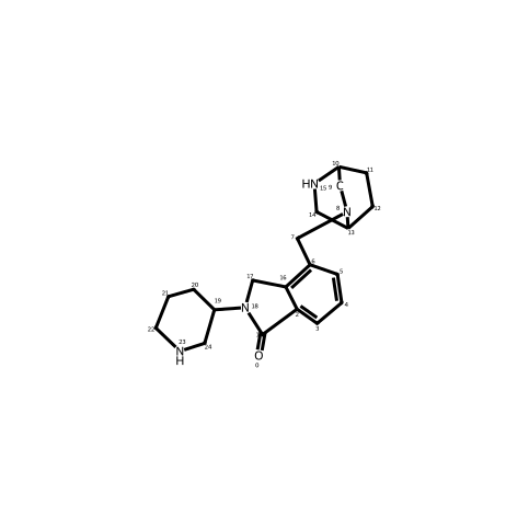 O=C1c2cccc(CN3CC4CCC3CN4)c2CN1C1CCCNC1